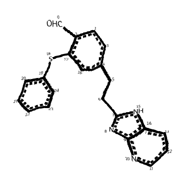 O=Cc1ccc(CCc2nc3ncccc3[nH]2)cc1Sc1ccccc1